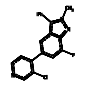 CC(C)c1c2cc(-c3ccncc3Cl)cc(F)c2nn1C